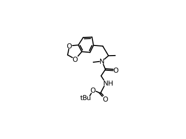 CC(Cc1ccc2c(c1)OCO2)N(C)C(=O)CNC(=O)OC(C)(C)C